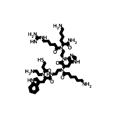 N=C(N)NCCCCC(=O)N(CCNC(=O)C(Cc1cnc[nH]1)N(CCNC(=O)C(Cc1c[nH]c2ccccc12)N(CCN)C(=O)CCS)C(=O)CCCCCN)C(CCCCN)C(N)=O